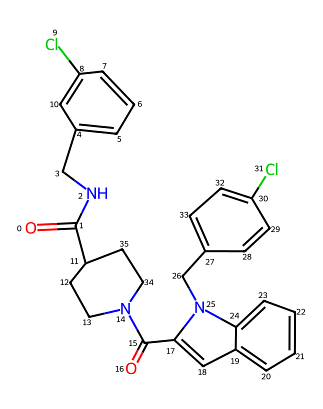 O=C(NCc1cccc(Cl)c1)C1CCN(C(=O)c2cc3ccccc3n2Cc2ccc(Cl)cc2)CC1